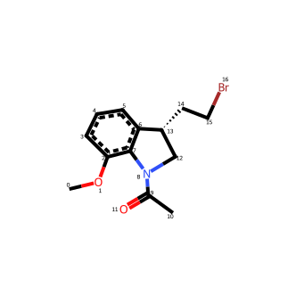 COc1cccc2c1N(C(C)=O)C[C@H]2CCBr